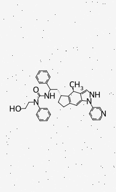 C[C@H]1C2=CNN(c3cccnc3)C2=CC2=C1[C@@H](CC(NC(=O)N(CCO)c1ccccc1)c1ccccc1)CC2